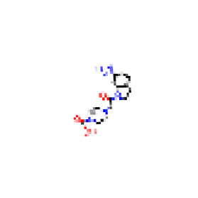 C[C@@H]1CN(CC(=O)N2CCc3ccc(N)cc32)CCN1C(=O)O